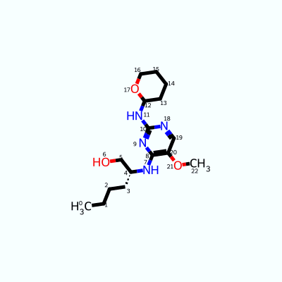 CCCC[C@H](CO)Nc1nc(NC2CCCCO2)ncc1OC